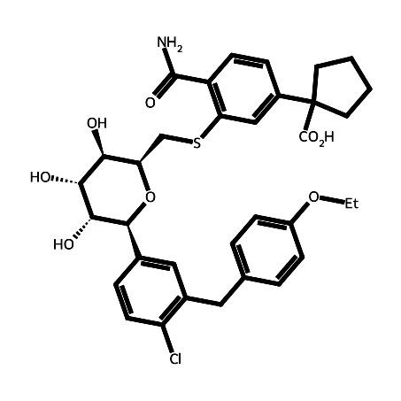 CCOc1ccc(Cc2cc([C@@H]3O[C@H](CSc4cc(C5(C(=O)O)CCCC5)ccc4C(N)=O)[C@H](O)[C@@H](O)[C@H]3O)ccc2Cl)cc1